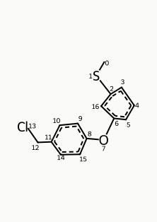 CSc1cccc(Oc2ccc(CCl)cc2)c1